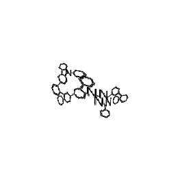 c1ccc(-c2nc(-c3cccc4c3oc3ccccc34)nc(-n3c4ccccc4c4cc(-c5ccc6oc7cccc(-c8ccc9c(c8)c8ccccc8n9-c8ccccc8)c7c6c5)ccc43)n2)cc1